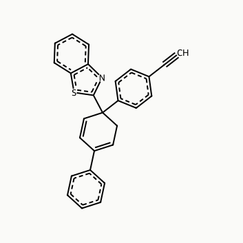 C#Cc1ccc(C2(c3nc4ccccc4s3)C=CC(c3ccccc3)=CC2)cc1